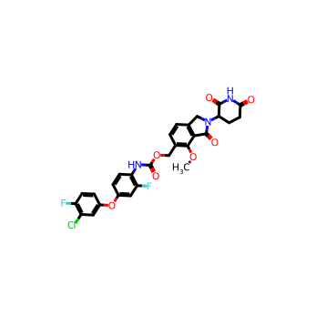 COc1c(COC(=O)Nc2ccc(Oc3ccc(F)c(Cl)c3)cc2F)ccc2c1C(=O)N(C1CCC(=O)NC1=O)C2